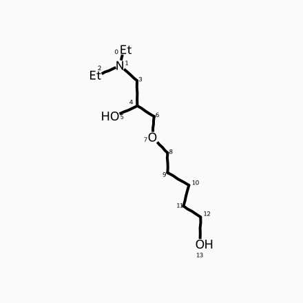 CCN(CC)CC(O)COCCCCCO